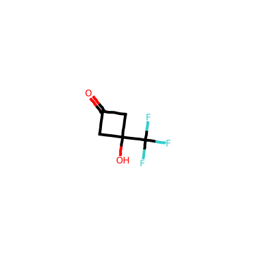 O=C1CC(O)(C(F)(F)F)C1